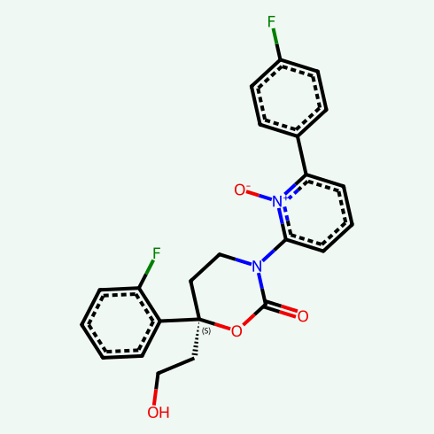 O=C1O[C@@](CCO)(c2ccccc2F)CCN1c1cccc(-c2ccc(F)cc2)[n+]1[O-]